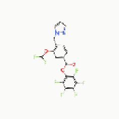 O=C(Oc1c(F)c(F)c(F)c(F)c1F)c1ccc(Cn2cccn2)c(OC(F)F)c1